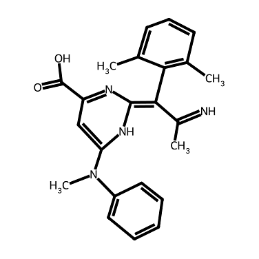 CC(=N)/C(=C1/N=C(C(=O)O)C=C(N(C)c2ccccc2)N1)c1c(C)cccc1C